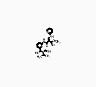 COC(=N)/C(=C\Nc1ccccn1)C(=O)Nc1cccc(C(=N)N(C=N)C(C)C)n1